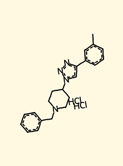 Cc1cccc(-c2cn(C3CCN(Cc4ccccc4)CC3)nn2)c1.Cl.Cl